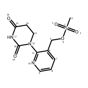 CS(=O)(=O)OCc1cccnc1N1CCC(=O)NC1=O